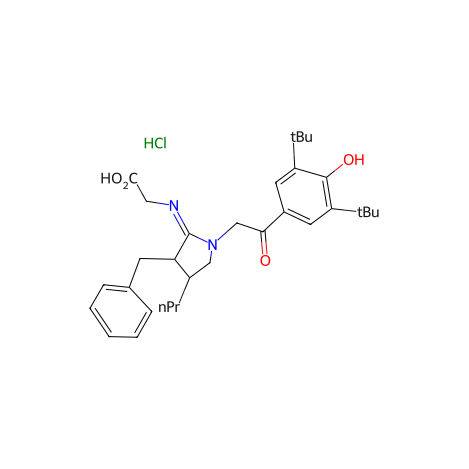 CCCC1CN(CC(=O)c2cc(C(C)(C)C)c(O)c(C(C)(C)C)c2)C(=NCC(=O)O)C1Cc1ccccc1.Cl